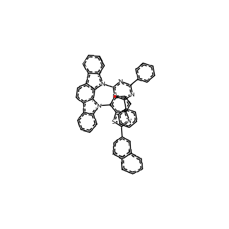 c1ccc(-c2nc(-c3ccccc3)nc(-n3c4ccccc4c4ccc5c6ccccc6n(-c6cccc7nc(-c8ccc9ccccc9c8)sc67)c5c43)n2)cc1